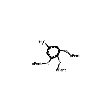 [CH2]c1cc(SCCCCC)c(SCCCCC)c(SCCCCC)c1